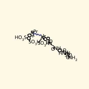 CCCN1/C(=C/C=C/C=C/C2=[N+](CCCS(=O)(=O)O)c3ccc4c(S(=O)(=O)N(C)CCCC(=O)NCc5ccc(C(=O)Nc6nnc(S(N)(=O)=O)s6)cc5)cccc4c3C2(C)C)C(C)(C)c2c1ccc1c(S(=O)(=O)O)cc(S(=O)(=O)O)cc21